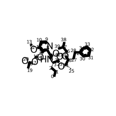 CCC[C@H](NC(=O)c1nccc(OC)c1OCOC(C)=O)C(=O)O[C@@H](C)[C@@H](CCc1ccccc1)OCC(C)C